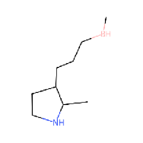 CBCCCC1CCNC1C